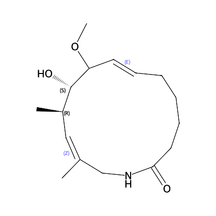 COC1/C=C/CCCCC(=O)NC/C(C)=C\[C@@H](C)[C@@H]1O